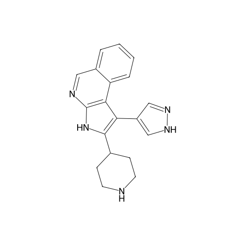 c1ccc2c(c1)cnc1[nH]c(C3CCNCC3)c(-c3cn[nH]c3)c12